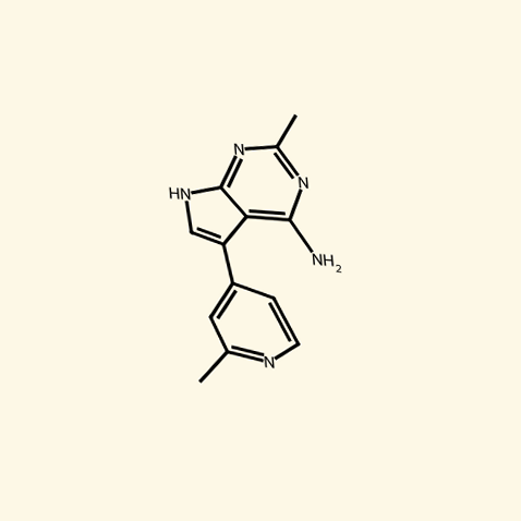 Cc1cc(-c2c[nH]c3nc(C)nc(N)c23)ccn1